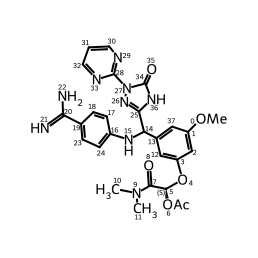 COc1cc(O[C@@H](OC(C)=O)C(=O)N(C)C)cc(C(Nc2ccc(C(=N)N)cc2)c2nn(-c3ncccn3)c(=O)[nH]2)c1